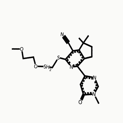 COCCO[SH2]CSc1nc(-c2cc(=O)n(C)cn2)c2c(c1C#N)C(C)(C)CC2